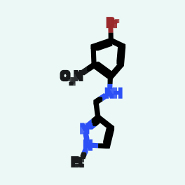 CCn1ccc(CNc2ccc(Br)cc2[N+](=O)[O-])n1